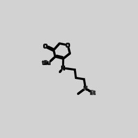 CCN(C)CCCN(C)C1=C(C(C)(C)C)C(=O)COC1